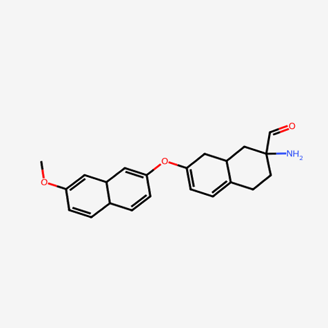 COC1=CC2C=C(OC3=CC=C4CCC(N)(C=O)CC4C3)C=CC2C=C1